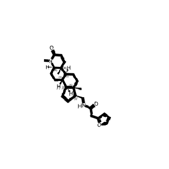 CN1C(=O)CC[C@]2(C)[C@H]3CC[C@]4(C)[C@@H](CNC(=O)Cc5ccco5)CC[C@H]4[C@@H]3CC[C@@H]12